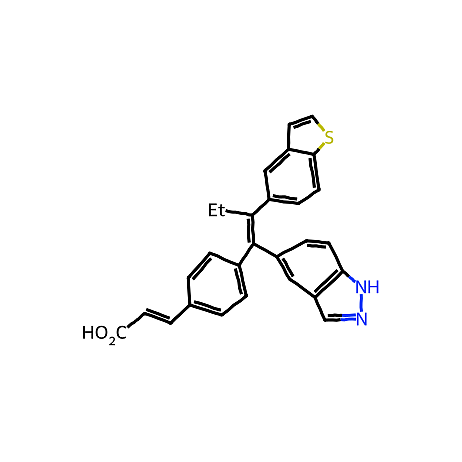 CCC(=C(c1ccc(C=CC(=O)O)cc1)c1ccc2[nH]ncc2c1)c1ccc2sccc2c1